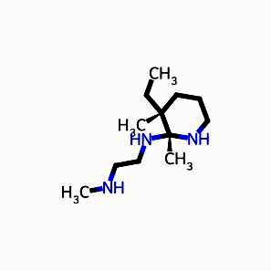 CC[C@]1(C)CCCN[C@]1(C)NCCNC